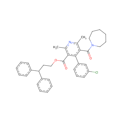 Cc1nc(C)c(C(=O)N2CCCCCC2)c(-c2cccc(Cl)c2)c1C(=O)OCCC(c1ccccc1)c1ccccc1